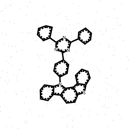 c1ccc(-c2nc(-c3ccccc3)nc(-c3ccc(-n4c5ccccc5c5ccc6sc7ccccc7c6c54)cc3)n2)cc1